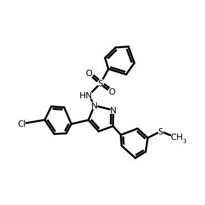 CSc1cccc(-c2cc(-c3ccc(Cl)cc3)n(NS(=O)(=O)c3ccccc3)n2)c1